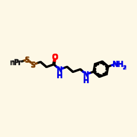 CCCSSCCC(=O)NCCCNc1ccc(N)cc1